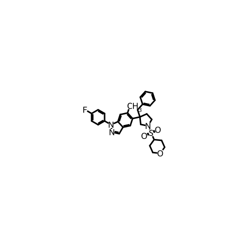 Cc1cc2c(cnn2-c2ccc(F)cc2)cc1C1(Cc2ccccc2)CCN(S(=O)(=O)C2CCOCC2)C1